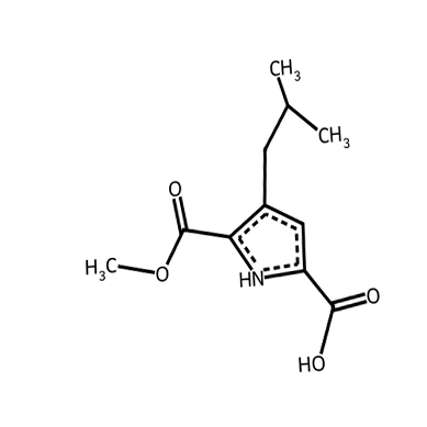 COC(=O)c1[nH]c(C(=O)O)cc1CC(C)C